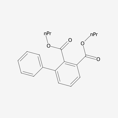 CCCOC(=O)c1cccc(-c2ccccc2)c1C(=O)OCCC